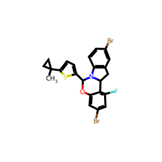 CC1(c2ccc(C3Oc4cc(Br)cc(F)c4C4Cc5cc(Br)ccc5N43)s2)CC1